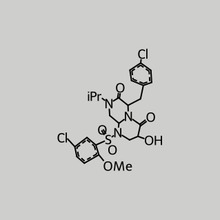 COc1ccc(Cl)cc1S(=O)(=O)N1CC(O)C(=O)N2C(Cc3ccc(Cl)cc3)C(=O)N(C(C)C)CC21